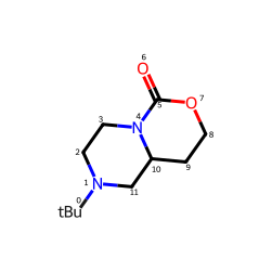 CC(C)(C)N1CCN2C(=O)OCCC2C1